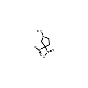 O=[N+]([O-])C1([N+](=O)[O-])CCN(P)C1